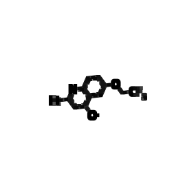 CCc1cc([O])c2cc(OCC(F)(F)F)ccc2n1